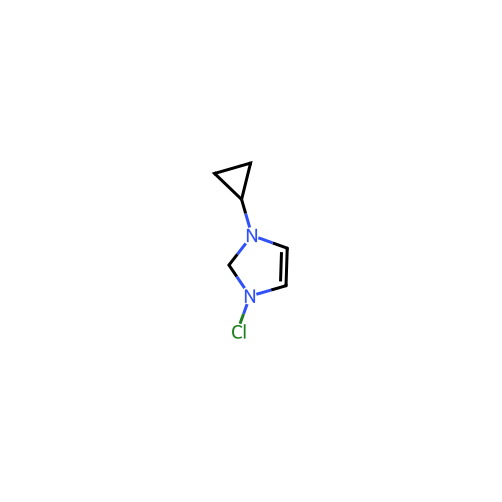 ClN1C=CN(C2CC2)C1